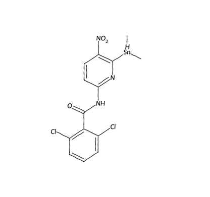 [CH3][SnH]([CH3])[c]1nc(NC(=O)c2c(Cl)cccc2Cl)ccc1[N+](=O)[O-]